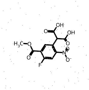 COC(=O)c1cc(C(C(=O)O)C(=O)O)c([N+](=O)[O-])cc1F